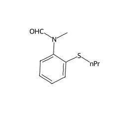 CCCSc1ccccc1N(C)C=O